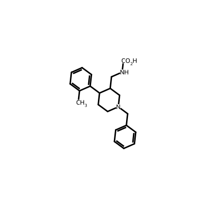 Cc1ccccc1C1CCN(Cc2ccccc2)CC1CNC(=O)O